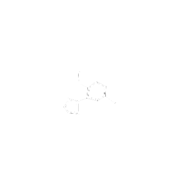 CCCOc1ncc([N+](=O)[O-])cc1-n1nccn1